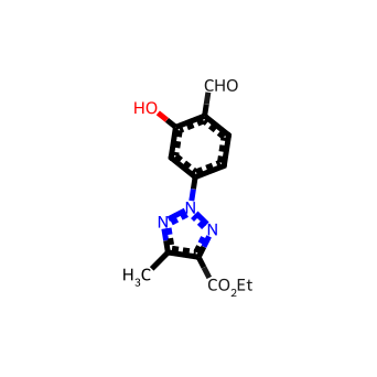 CCOC(=O)c1nn(-c2ccc(C=O)c(O)c2)nc1C